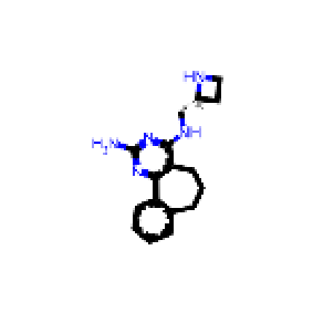 Nc1nc(NC[C@H]2CCN2)c2c(n1)-c1ccccc1CCC2